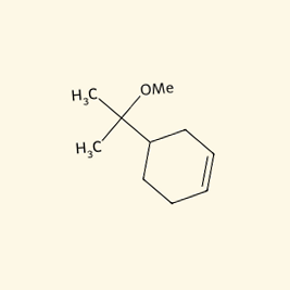 COC(C)(C)C1CC=CCC1